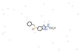 O=C(O)Nc1nc2cc([S+]([O-])Cc3ccccc3)ccc2[nH]1